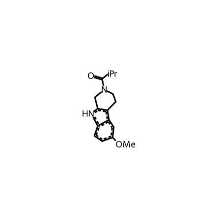 COc1ccc2[nH]c3c(c2c1)CCN(C(=O)C(C)C)C3